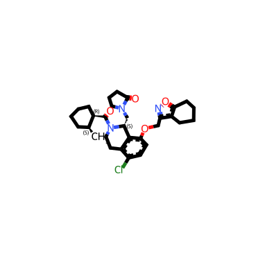 C[C@H]1CCCC[C@H]1C(=O)N1CCc2c(Cl)ccc(OCc3noc4c3CCCC4)c2[C@H]1CN1CCCC1=O